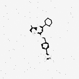 Brc1cnn2c(NCc3ccc(-c4nn[nH]n4)cc3)cc(C3CCCCC3)nc12